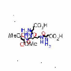 COC(=O)CC(NC(=O)C(CCCCNC(=O)C(N)CC(=O)O)NC(=O)C(N)CCC(=O)O)C(=O)OC